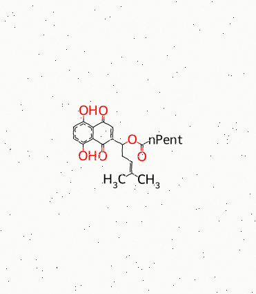 CCCCCC(=O)OC(CC=C(C)C)C1=CC(=O)c2c(O)ccc(O)c2C1=O